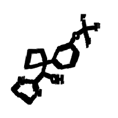 OC(c1ncccn1)C1(c2cccc(OC(F)(F)F)c2)CCC1